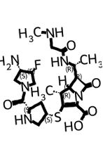 CNCC(=O)N[C@H](C)[C@H]1C(=O)N2C(C(=O)O)=C(S[C@@H]3CN[C@H](C(=O)N4C[C@H](N)[C@@H](F)C4)C3)[C@H](C)[C@H]12